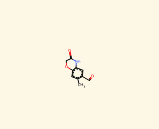 Cc1cc2c(cc1C=O)NC(=O)CO2